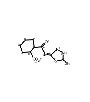 CCC1N[N]C(=NC(=O)C2CCCCC2C(=O)O)S1